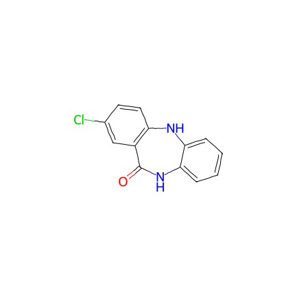 O=C1Nc2ccccc2Nc2ccc(Cl)cc21